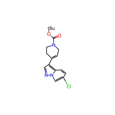 CC(C)(C)OC(=O)N1CC=C(c2cnn3cc(Cl)ccc23)CC1